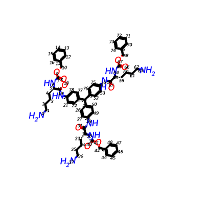 NCCCC[C@@H](NC(=O)OCc1ccccc1)C(=O)Nc1ccc(C(c2ccc(NC(=O)[C@@H](CCCCN)NC(=O)OCc3ccccc3)cc2)c2ccc(NC(=O)[C@@H](CCCCN)NC(=O)OCc3ccccc3)cc2)cc1